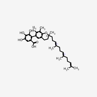 CC(C)=CCC/C(C)=C/CC/C(C)=C/CC[C@]1(C)CCc2cc(-c3c(C(=O)O)cc(O)c(O)c3O)c(C)c(C)c2O1